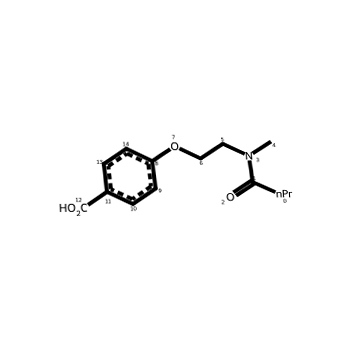 CCCC(=O)N(C)CCOc1ccc(C(=O)O)cc1